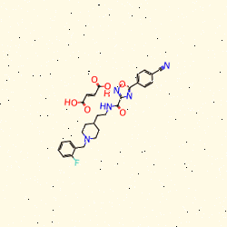 N#Cc1ccc(-c2nc(C(=O)NCCC3CCN(Cc4ccccc4F)CC3)no2)cc1.O=C(O)/C=C/C(=O)O